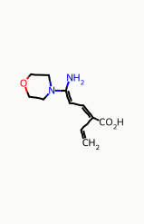 C=C/C(=C\C=C(/N)N1CCOCC1)C(=O)O